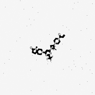 C=CC(=O)N1CCN([C@@H]2CN(c3cc(N4CCC5(CCC(=O)N5C)CC4)nc(C(F)(F)F)n3)[C@@H]2C)CC1